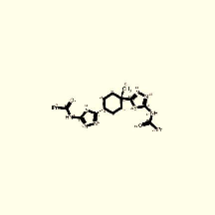 CC(C)C(=O)Nc1nnc([C@H]2CC[C@@](C)(c3nnc(NC(=O)C(C)C)s3)CC2)s1